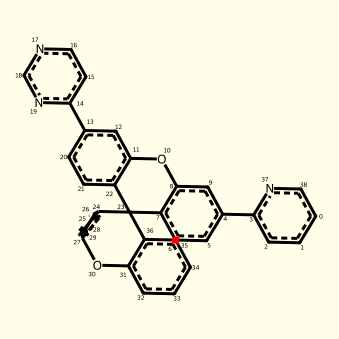 c1ccc(-c2ccc3c(c2)Oc2cc(-c4ccncn4)ccc2C32c3ccccc3Oc3ccccc32)nc1